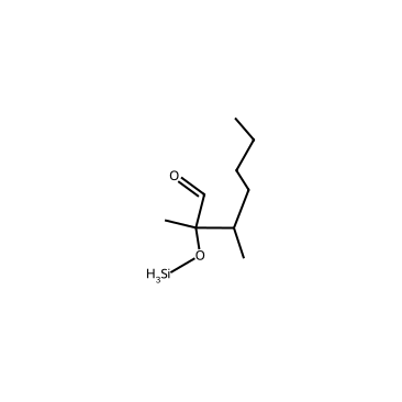 CCCCC(C)C(C)(C=O)O[SiH3]